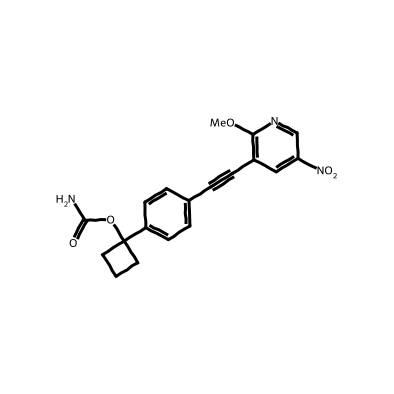 COc1ncc([N+](=O)[O-])cc1C#Cc1ccc(C2(OC(N)=O)CCC2)cc1